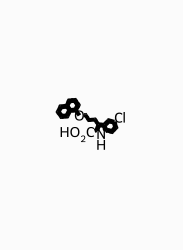 O=C(O)c1[nH]c2ccc(Cl)cc2c1CCCOc1cccc2ccccc12